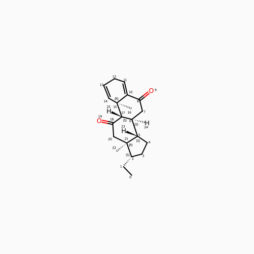 CC[C@H]1CC[C@H]2[C@@H]3CC(=O)C4=CCC=C[C@]4(C)[C@H]3C(=O)C[C@]12C